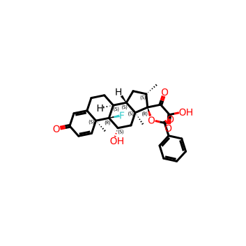 C[C@H]1C[C@H]2[C@@H]3CCC4=CC(=O)C=C[C@]4(C)[C@@]3(F)[C@@H](O)C[C@]2(C)[C@@]1(OC(=O)c1ccccc1)C(=O)C(=O)O